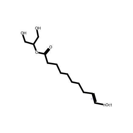 CCCCCCCC/C=C/CCCCCCCC(=O)OC(CO)CO